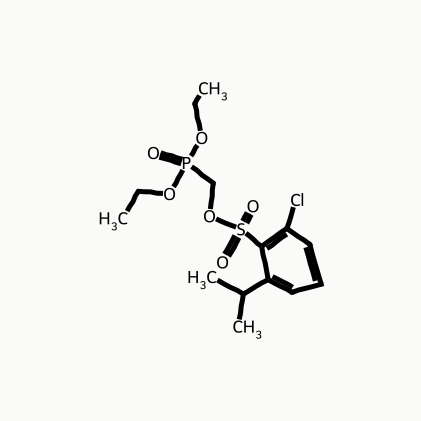 CCOP(=O)(COS(=O)(=O)c1c(Cl)cccc1C(C)C)OCC